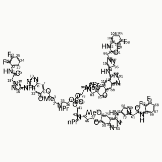 CCCN(CCCOc1cc2ncnc(Nc3cnn(CC(=O)Nc4cccc(F)c4F)c3)c2cc1OC)CCOP(=O)(OCCN(CCC)CCCOc1cc2ncnc(Nc3cnn(CC(=O)Nc4cccc(F)c4F)c3)c2cc1OC)OCCN(CCC)CCCOc1cc2ncnc(Nc3cnn(CC(=O)Nc4cccc(F)c4F)c3)c2cc1OC